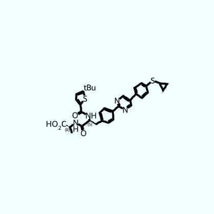 C[C@@H](NC(=O)[C@H](Cc1ccc(-c2ncc(-c3ccc(SC4CC4)cc3)cn2)cc1)NC(=O)c1ccc(C(C)(C)C)s1)C(=O)O